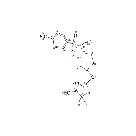 CN(C)C1(CCOC2CCC(N(C)S(=O)(=O)c3ccc(C(F)(F)F)cc3)CC2)CC1